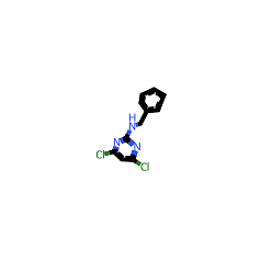 Clc1cc(Cl)nc(NCc2ccccc2)n1